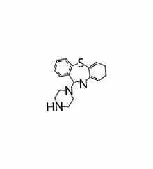 C1=C2N=C(N3CCNCC3)c3ccccc3SC2=CCC1